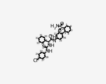 NS(=O)(=O)c1ccccc1-c1ccc(NC(=O)[C@H](NC(=S)Nc2ccc(Cl)cc2)c2ccccc2)cc1